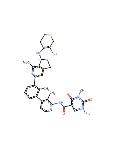 COc1nc(-c2cccc(-c3cccc(NC(=O)c4cn(C)c(=O)n(C)c4=O)c3C)c2C)cc2c1[C@@H](NC1=C(O)COCC1)CC2